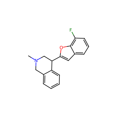 CN1Cc2ccccc2C(c2cc3cccc(F)c3o2)C1